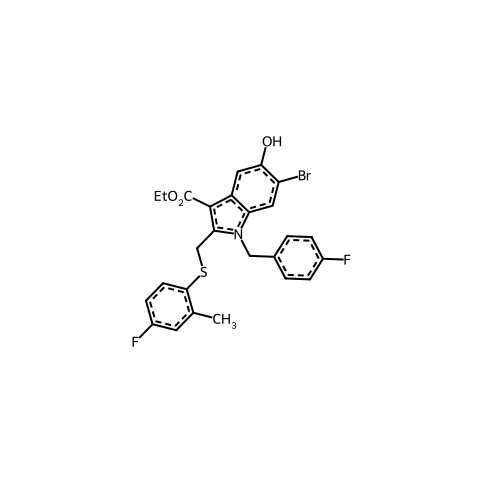 CCOC(=O)c1c(CSc2ccc(F)cc2C)n(Cc2ccc(F)cc2)c2cc(Br)c(O)cc12